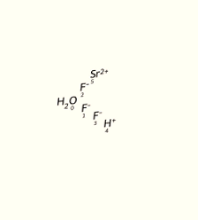 O.[F-].[F-].[F-].[H+].[Sr+2]